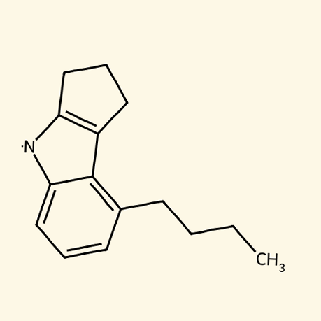 CCCCc1cccc2c1C1=C(CCC1)[N]2